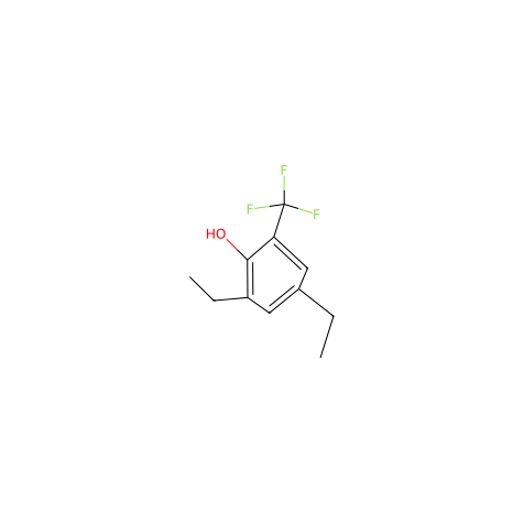 CCc1cc(CC)c(O)c(C(F)(F)F)c1